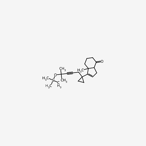 CC(C)(C#CCC1(C2=CCC3C(=O)CCCC23C)CC1)O[Si](C)(C)C